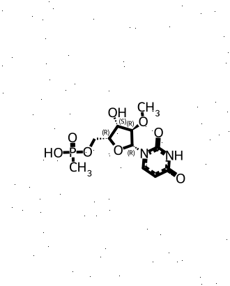 CO[C@@H]1[C@@H](O)[C@@H](COP(C)(=O)O)O[C@H]1n1ccc(=O)[nH]c1=O